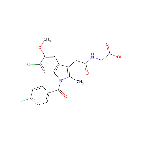 COc1cc2c(CC(=O)NCC(=O)O)c(C)n(C(=O)c3ccc(F)cc3)c2cc1Cl